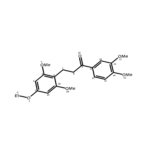 CCOc1cc(OC)c(CCC(=O)c2ccc(OC)c(OC)c2)c(OC)c1